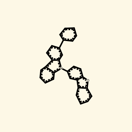 c1ccc(-c2ccc3c4ccccc4n(-c4ccc5oc6ccccc6c5c4)c3c2)cc1